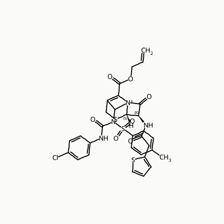 C=CCOC(=O)C1=C2CS[C@H]3[C@H](NC(=O)Cc4cccs4)C(=O)[N+]13C2N(C(=O)Nc1ccc(Cl)cc1)S(=O)(=O)c1ccc(C)cc1